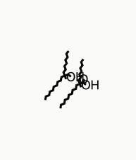 CCCCCCCCCCC(C)(CCCCCCCC)C(=O)O.CCCCCCCCCCC(C)(CO)CCCCCCCC